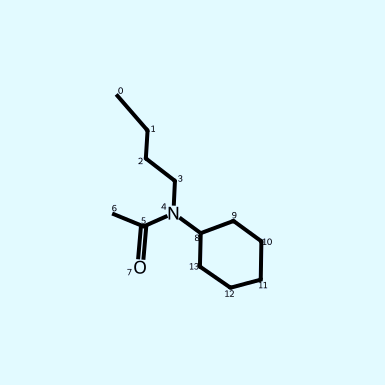 CCCCN(C(C)=O)C1CCCCC1